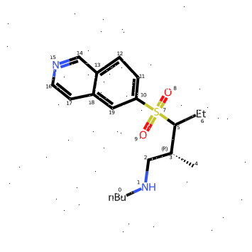 CCCCNC[C@@H](C)C(CC)S(=O)(=O)c1ccc2cnccc2c1